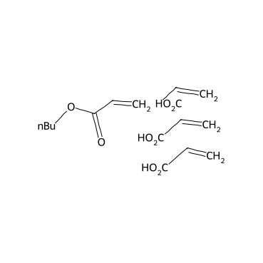 C=CC(=O)O.C=CC(=O)O.C=CC(=O)O.C=CC(=O)OCCCC